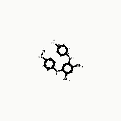 Nc1cc(N)c(Nc2ccc(SO)cc2)cc1Nc1ccc(S)cc1